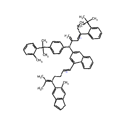 C=C(/C=C(\CC)c1ccccc1C(C)(C)C)N(c1ccc(C(C)(C)c2ccccc2C)cc1)c1cc(/C=C/CCC(=C(C)C)c2cc3c(cc2C)CC=C3)c2ccccc2c1